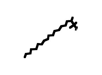 CCCCCCCCCCCCCCCCC(C)C(C)(C)F